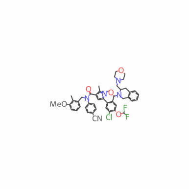 COc1cccc(CN(C(=O)c2cc(-c3cc(Cl)c(OC(F)F)cc3C(=O)N3Cc4ccccc4CC3CN3CCOCC3)n(C)c2C)c2ccc(C#N)cc2)c1C